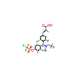 C/C(=C\c1cc(F)c([C@@H]2c3ccc(OS(=O)(=O)C(F)(F)F)c(C)c3C[C@@H](C)N2CC(C)(C)F)c(F)c1)C(=O)O